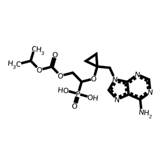 CC(C)OC(=O)OCC(OC1(Cn2cnc3c(N)ncnc32)CC1)P(=O)(O)O